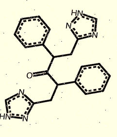 O=C(C(Cc1nc[nH]n1)c1ccccc1)C(Cc1nc[nH]n1)c1ccccc1